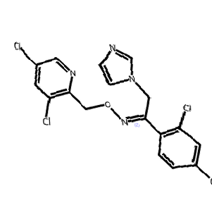 Clc1ccc(/C(Cn2ccnc2)=N/OCc2ncc(Cl)cc2Cl)c(Cl)c1